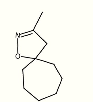 CC1=NOC2(CCCCCC2)C1